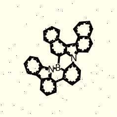 c1cc2c3c(c1)-n1c4ccc5ccccc5c4c4c5ccccc5cc(c41)B3n1c3ccccc3c3cccc-2c31